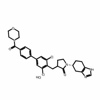 Cl.O=C(c1ccc(-c2cc(Cl)c(CC3CCN([C@@H]4CCc5[nH]cnc5C4)C3=O)c(Cl)c2)cc1)N1CCOCC1